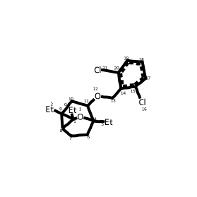 CCC1(CC)OC2(CC)CCC1CCC2OCc1c(Cl)cccc1Cl